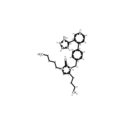 CCCCCn1cc(CCCC)n(Cc2ccc(-c3ccncc3-c3nnn[nH]3)cc2)c1=O